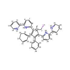 C[Si]1(CI)C(c2cccc(-c3ccccn3)n2)=C(C2=CCCC=C2)C(c2ccccc2)=C1c1cccc(-c2ccccn2)n1